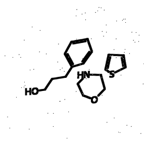 C1COCCN1.OCCCc1ccccc1.c1ccsc1